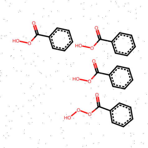 O=C(OO)c1ccccc1.O=C(OO)c1ccccc1.O=C(OO)c1ccccc1.O=C(OOO)c1ccccc1